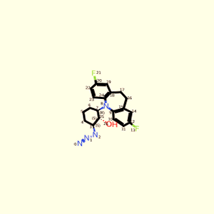 [N-]=[N+]=N[C@H]1CCC[C@@H](N2c3ccc(F)cc3CCc3cc(F)ccc32)[C@@H]1O